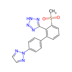 CS(=O)(=O)c1cccc(-c2ccc(-n3nccn3)cc2)c1-c1nn[nH]n1